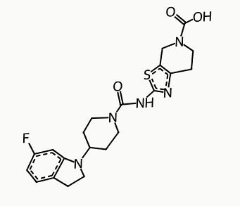 O=C(O)N1CCc2nc(NC(=O)N3CCC(N4CCc5ccc(F)cc54)CC3)sc2C1